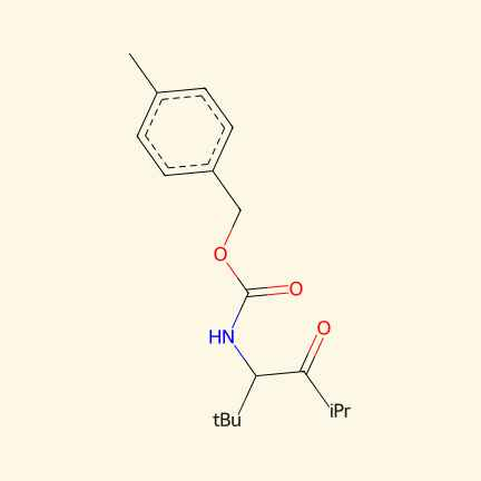 Cc1ccc(COC(=O)NC(C(=O)C(C)C)C(C)(C)C)cc1